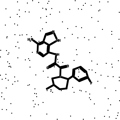 CC1CCC(c2cccc(F)c2)N(C(=O)C(=O)Nc2cnc(N)c3cn[nH]c23)C1